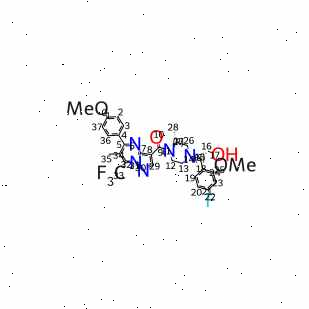 COc1ccc(-c2nc3c(C(=O)N4CCN([C@H](CO)c5ccc(F)cc5OC)C[C@H]4C)cnn3c(C(F)(F)F)c2C)cc1